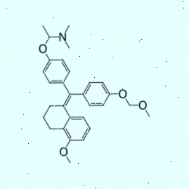 COCOc1ccc(C(=C2CCCc3c(OC)cccc32)c2ccc(OC(C)N(C)C)cc2)cc1